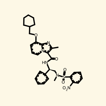 Cc1nc2c(OCC3CCCCC3)cccn2c1C(=O)N[C@@H](CN(C)S(=O)(=O)c1ccccc1[N+](=O)[O-])c1ccccc1